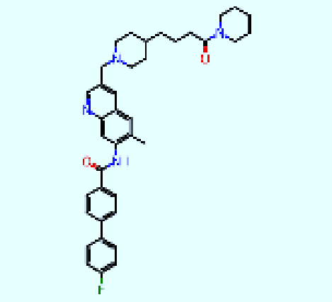 Cc1cc2cc(CN3CCC(CCCC(=O)N4CCCCC4)CC3)cnc2cc1NC(=O)c1ccc(-c2ccc(F)cc2)cc1